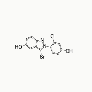 Oc1ccc(-n2nc3ccc(O)cc3c2Br)c(Cl)c1